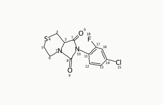 O=C1C2CSCCN2C(=O)N1c1ccc(Cl)cc1F